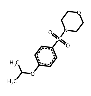 CC(C)Oc1ccc(S(=O)(=O)N2CCOCC2)cc1